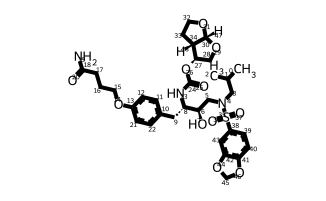 CC(C)CN(C[C@@H](O)[C@H](Cc1ccc(OCCCC(N)=O)cc1)NC(=O)O[C@H]1CO[C@H]2OCC[C@H]21)S(=O)(=O)c1ccc2c(c1)OCO2